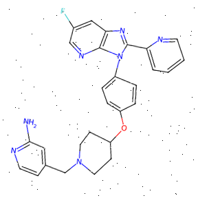 Nc1cc(CN2CCC(Oc3ccc(-n4c(-c5ccccn5)nc5cc(F)cnc54)cc3)CC2)ccn1